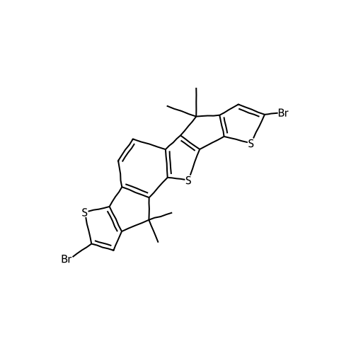 CC1(C)c2cc(Br)sc2-c2sc3c4c(ccc3c21)-c1sc(Br)cc1C4(C)C